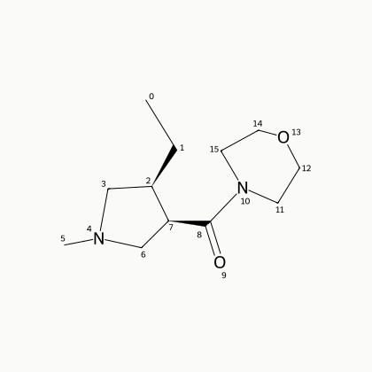 CC[C@@H]1CN(C)C[C@@H]1C(=O)N1CCOCC1